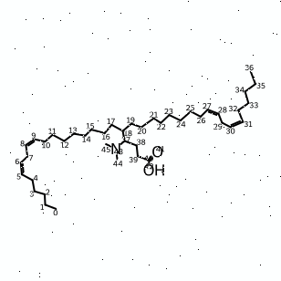 CCCCC/C=C\C/C=C\CCCCCCCCC(CCCCCCCC/C=C\C/C=C\CCCCC)C(CCC(=O)O)N(C)C